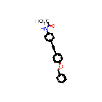 O=C(O)C(=O)Nc1ccc(C#Cc2ccc(OCc3ccccc3)cc2)cc1